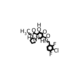 CCN1C(=O)c2c(O)c(=O)c(C(=O)NCc3ccc(F)c(Cl)c3F)cn2N2CCC[C@@H]12